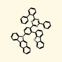 c1ccc(-c2nc(-c3ccccc3-c3ccccc3)nc(-c3ccc(-n4c5ccccc5c5cc6ccccc6cc54)cc3-c3cccc4c3oc3ccccc34)n2)cc1